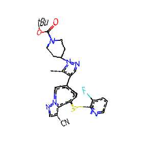 Cc1c(-c2cc(Sc3ncccc3F)c3c(C#N)cnn3c2)cnn1C1CCN(C(=O)OC(C)(C)C)CC1